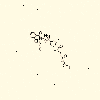 CCCCN(C(=O)c1ccccc1Cl)c1nnc(-c2ccc(C(=O)NCCC(=O)OCC)cc2)s1